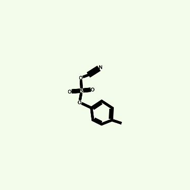 Cc1ccc(OS(=O)(=O)OC#N)cc1